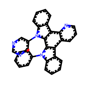 c1ccc(-n2c3ccccc3c3c4cccnc4c4c5ccccc5n(-c5cncnc5)c4c32)cc1